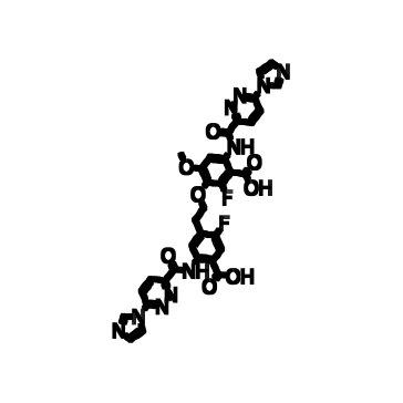 COc1cc(NC(=O)c2ccc(-n3ccnc3)nn2)c(C(=O)O)c(F)c1OCCc1cc(NC(=O)c2ccc(-n3ccnc3)nn2)c(C(=O)O)cc1F